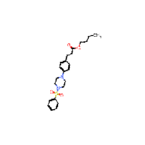 CCCCOC(=O)CCc1ccc(N2CCN(S(=O)(=O)c3ccccc3)CC2)cc1